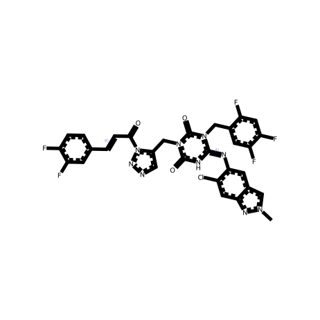 Cn1cc2cc(/N=c3\[nH]c(=O)n(Cc4cnnn4C(=O)/C=C/c4ccc(F)c(F)c4)c(=O)n3Cc3cc(F)c(F)cc3F)c(Cl)cc2n1